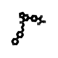 CCN(CC)C(=O)c1ccc(-c2cc(NCCCN3CCC(N4CCOCC4)CC3)c3sccc3n2)cc1